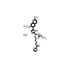 COC(=O)N[C@@H](CCCCCC(=O)c1ncco1)c1ncc(-c2cc3ccc(C)nc3cc2OC)[nH]1.Cl